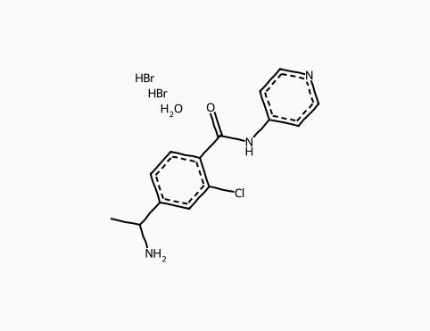 Br.Br.CC(N)c1ccc(C(=O)Nc2ccncc2)c(Cl)c1.O